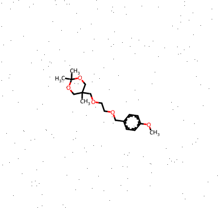 COc1ccc(COCCOCC2(C)COC(C)(C)OC2)cc1